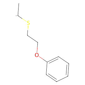 C[CH]SCCOc1ccccc1